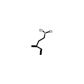 C=CC(=C)CCN(CC)CC